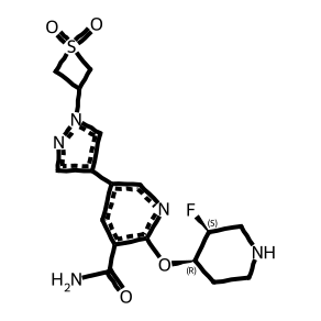 NC(=O)c1cc(-c2cnn(C3CS(=O)(=O)C3)c2)cnc1O[C@@H]1CCNC[C@@H]1F